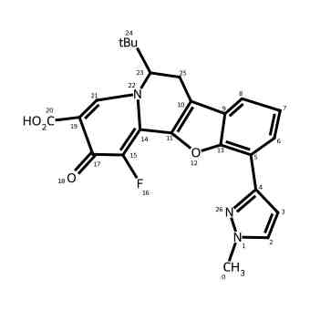 Cn1ccc(-c2cccc3c4c(oc23)-c2c(F)c(=O)c(C(=O)O)cn2C(C(C)(C)C)C4)n1